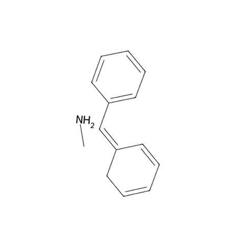 C1=CCC(=Cc2ccccc2)C=C1.CN